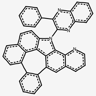 c1ccc(-c2nc3ccccc3nc2-n2c3ccc4cccc5c4c3c3c(cc4cccnc4c32)-c2ccccc2-5)cc1